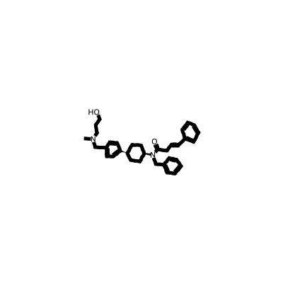 CN(CCCO)Cc1ccc([C@H]2CC[C@H](N(Cc3ccccc3)C(=O)CC=Cc3ccccc3)CC2)cc1